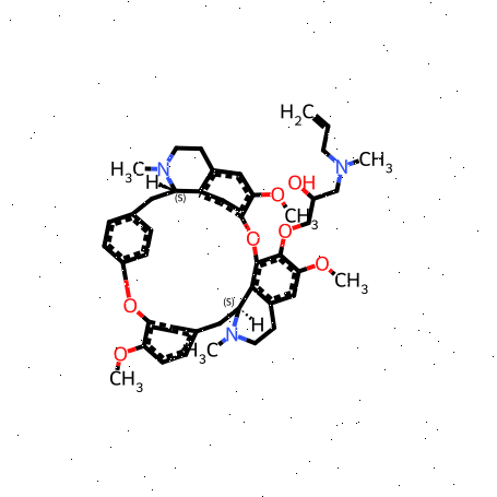 C=CCN(C)CC(O)COc1c(OC)cc2c3c1Oc1cc4c(cc1OC)CCN(C)[C@H]4Cc1ccc(cc1)Oc1cc(ccc1OC)C[C@@H]3N(C)CC2